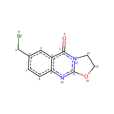 O=c1c2cc(CBr)ccc2nc2n1CCO2